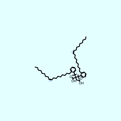 CCCCCCCC/C=C\CCCCCCCCc1ccccc1C(C)(C)C(CC(=O)O)(C(=O)O)C(C)(C)c1ccccc1CCCCCCCC/C=C\CCCCCCCC